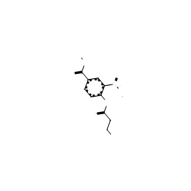 [CH2]CCC(=O)Oc1ccc(C(=O)OC)cc1[N+](=O)[O-]